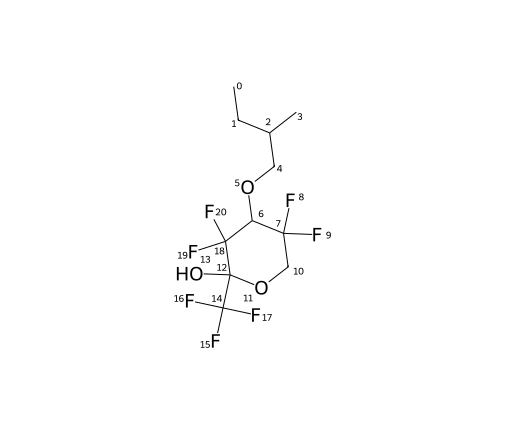 CCC(C)COC1C(F)(F)COC(O)(C(F)(F)F)C1(F)F